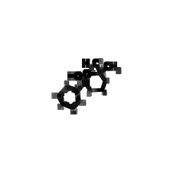 CC1(C)CCC[Si](O)(c2ccccc2)O1